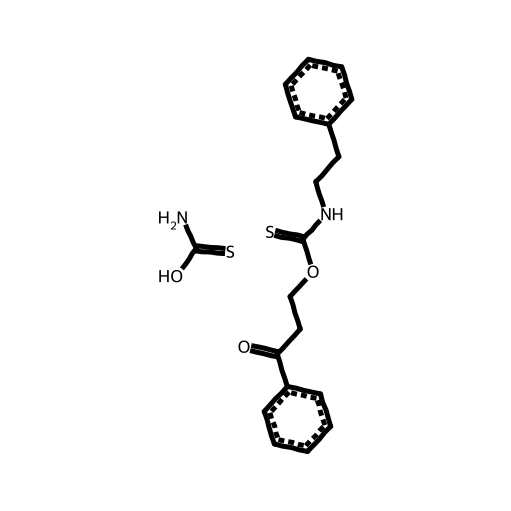 NC(O)=S.O=C(CCOC(=S)NCCc1ccccc1)c1ccccc1